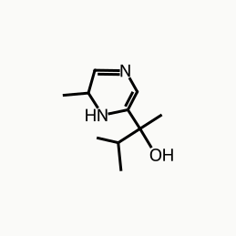 CC1C=NC=C(C(C)(O)C(C)C)N1